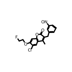 Cc1c(Cc2cccc(N=O)c2)c(=O)oc2cc(OCCF)c(Cl)cc12